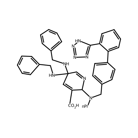 CCCN(Cc1ccc(-c2ccccc2-c2nnn[nH]2)cc1)C1N=CC(NCc2ccccc2)(NCc2ccccc2)C=C1C(=O)O